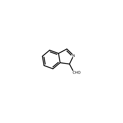 O=CC1N=Cc2ccccc21